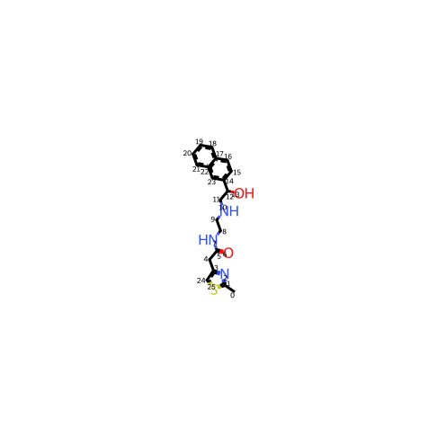 Cc1nc(CC(=O)NCCNCC(O)c2ccc3ccccc3c2)cs1